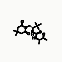 CC(=O)C(C)NC(=O)N[C@H](CN1C(=O)CC(C)(C)CC1=O)C(C)(C)C